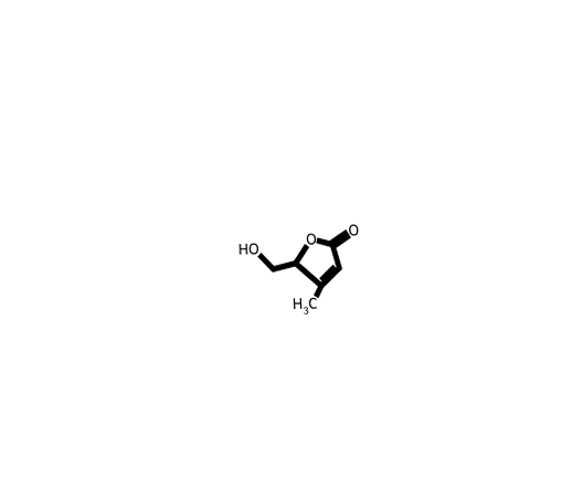 CC1=CC(=O)OC1CO